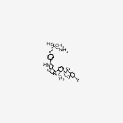 Cc1c(-c2ncnc3[nH]c(-c4ccc(CCCC(C)(O)CCN)cc4)cc23)cccc1N1CCOc2cc(C3CC3)ccc2C1=O